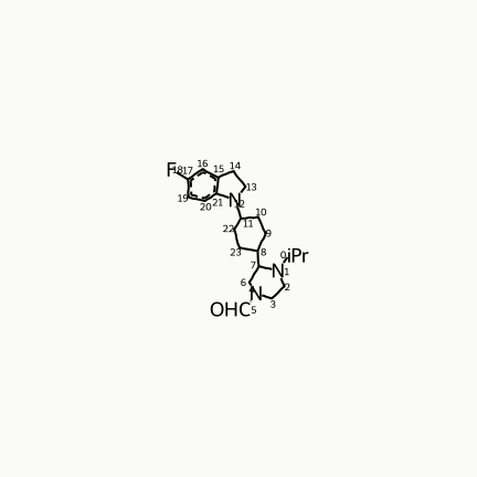 CC(C)N1CCN(C=O)CC1C1CCC(N2CCc3cc(F)ccc32)CC1